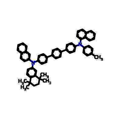 Cc1ccc(N(c2ccc(-c3ccc(-c4ccc(N(c5ccc6c(c5)C(C)(C)CCC6(C)C)c5ccc6ccccc6c5)cc4)cc3)cc2)c2cccc3ccccc23)cc1